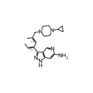 C/C=C(\C=C(/C)CN1CCN(C2CC2)CC1)c1n[nH]c2cc(N)ncc12